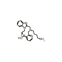 C=CCn1c(CN(CCCCN)Cc2ncccc2CO)nc2ccccc21